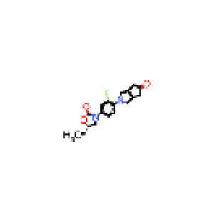 CC[C@H]1CN(c2ccc(N3CC4CC(=O)CC4C3)c(F)c2)C(=O)O1